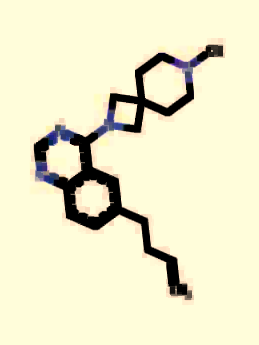 C=CCCc1ccc2ncnc(N3CC4(CCN(C#N)CC4)C3)c2c1